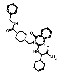 NC(=O)C(Nc1nc2ccccc2c(=O)n1CN1CCN(C(=O)NCc2ccccc2)CC1)C1CC=CCC1